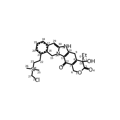 CC[C@@]1(O)C(=O)OCC2=C1CC1=C(C2=O)N2Cc3c(cccc3CC[Si](C)(C)CCl)C=C2N1